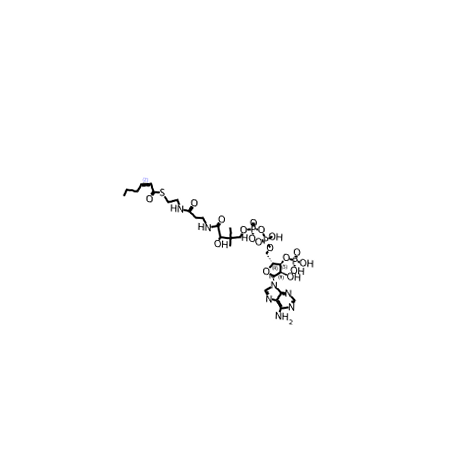 CCC/C=C\C(=O)SCCNC(=O)CCNC(=O)C(O)C(C)(C)COP(=O)(O)OP(=O)(O)OC[C@H]1O[C@@H](n2cnc3c(N)ncnc32)[C@H](O)[C@@H]1OP(=O)(O)O